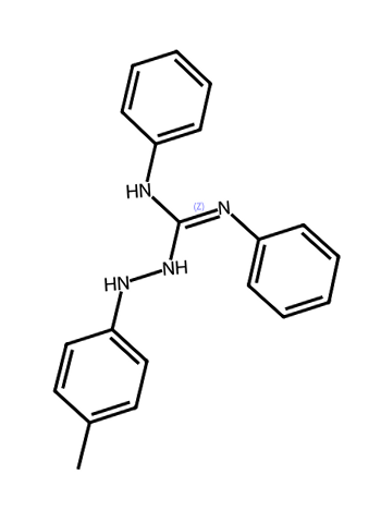 Cc1ccc(NN/C(=N\c2ccccc2)Nc2ccccc2)cc1